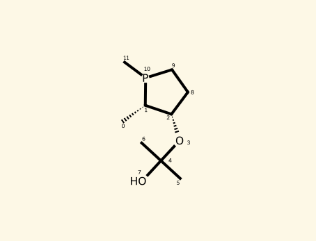 C[C@H]1[C@@H](OC(C)(C)O)CCP1C